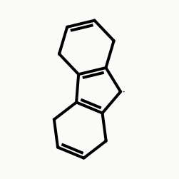 [CH]1C2=C(CC=CC2)C2=C1CC=CC2